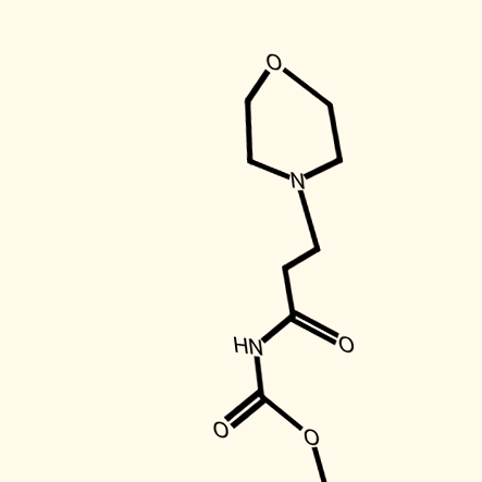 CC(C)(C)OC(=O)NC(=O)CCN1CCOCC1